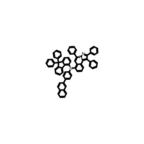 c1ccc(-c2nn3c(-c4ccccc4)cc4c(N(c5ccc(-c6ccc7ccccc7c6)cc5)c5cccc6c5-c5ccccc5C6(c5ccccc5)c5ccccc5)cccc4c3c2-c2ccccc2)cc1